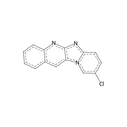 Clc1ccc2nc3nc4ccccc4cc3n2c1